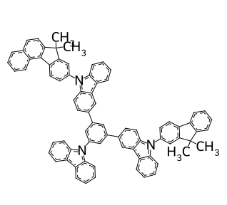 CC1(C)c2ccccc2-c2ccc(-n3c4ccccc4c4cc(-c5cc(-c6ccc7c(c6)c6ccccc6n7-c6ccc7c(c6)C(C)(C)c6ccc8ccccc8c6-7)cc(-n6c7ccccc7c7ccccc76)c5)ccc43)cc21